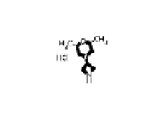 C[C@@H]1CN(C2CNC2)C[C@H](C)O1.Cl